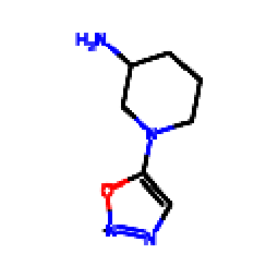 NC1CCCN(C2=CN=[N+]O2)C1